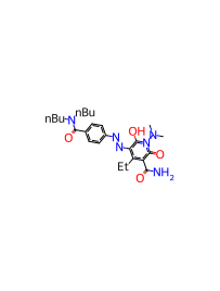 CCCCN(CCCC)C(=O)c1ccc(/N=N/c2c(CC)c(C(N)=O)c(=O)n(N(C)C)c2O)cc1